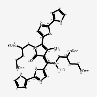 CCCCCCCCCCCCC(CCCCCCCCCC)CN1C(=O)/C(=C(\c2cnc(-c3cccs3)s2)N(C=O)CC(CCCCCCCCCC)CCCCCCCCCCCC)C(C)=C1c1cnc(-c2cccs2)s1